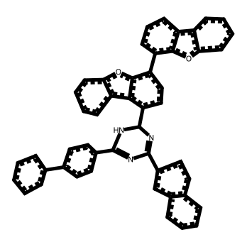 c1ccc(-c2ccc(C3=NC(c4ccc5ccccc5c4)=NC(c4ccc(-c5cccc6c5oc5ccccc56)c5oc6ccccc6c45)N3)cc2)cc1